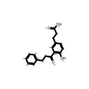 O=C(O)CCc1ccc(O)c(C(=O)CCc2ccccc2)c1